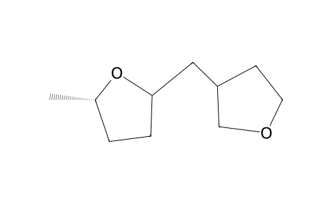 C[C@H]1CCC(CC2CCOC2)O1